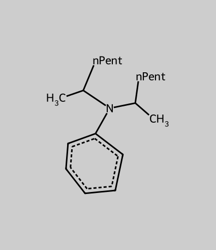 CCCCCC(C)N(c1ccccc1)C(C)CCCCC